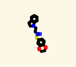 c1ccc2c(c1)CCN2CCNSc1ccc2c(c1)OCCO2